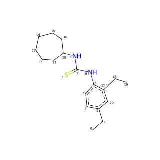 CCc1ccc(NC(=S)NC2CCCCCC2)c(CC)c1